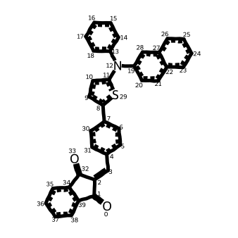 O=C1C(=Cc2ccc(-c3ccc(N(c4ccccc4)c4ccc5ccccc5c4)s3)cc2)C(=O)c2ccccc21